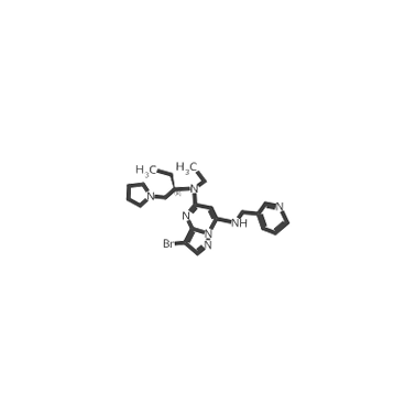 CC[C@H](CN1CCCC1)N(CC)c1cc(NCc2cccnc2)n2ncc(Br)c2n1